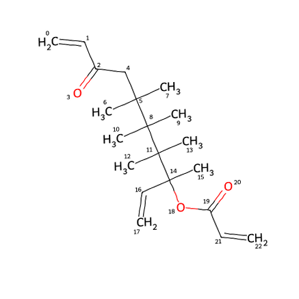 C=CC(=O)CC(C)(C)C(C)(C)C(C)(C)C(C)(C=C)OC(=O)C=C